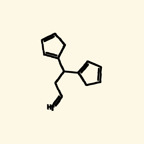 [Hf]=[CH]CC(C1=CC=CC1)C1=CC=CC1